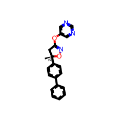 C[C@@]1(c2ccc(-c3ccccc3)cc2)CC(Oc2cncnc2)=NO1